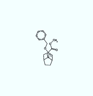 COC(=O)C1(OCc2ccccc2)CC2CCC(C1)N2C